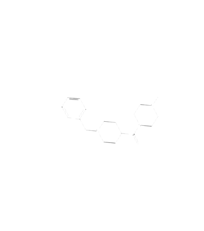 CN1CCN(C(=O)C2CCN(Cc3ccccc3)CC2)CC1